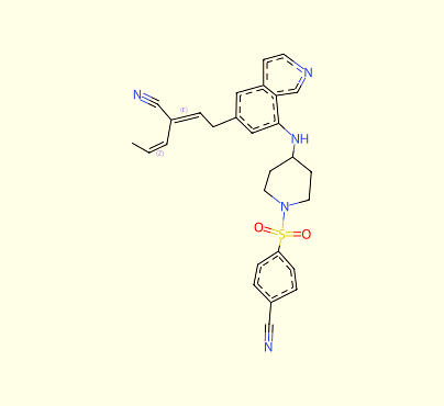 C/C=C\C(C#N)=C/Cc1cc(NC2CCN(S(=O)(=O)c3ccc(C#N)cc3)CC2)c2cnccc2c1